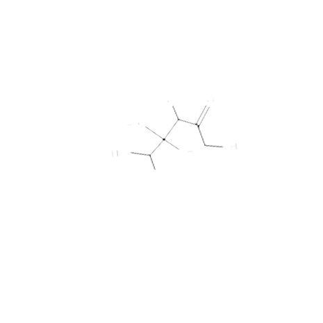 CCC(=O)C(C)C(C)(C)C(C)C